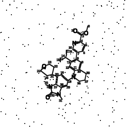 COC(=O)c1ccc(-c2cc3c(cc2C(F)F)N(c2cc(C4CCOCC4)c4c(c2)n(C)c(=O)n4C)CCC3)cn1